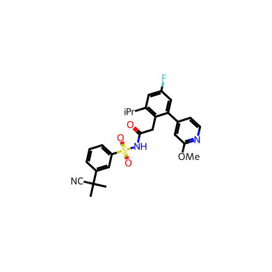 COc1cc(-c2cc(F)cc(C(C)C)c2CC(=O)NS(=O)(=O)c2cccc(C(C)(C)C#N)c2)ccn1